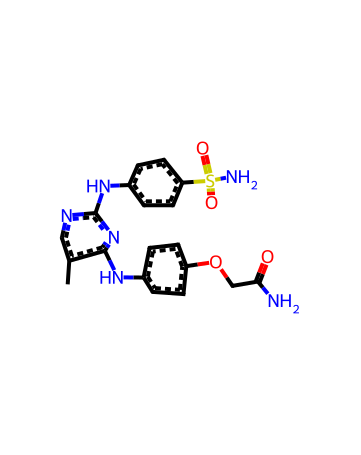 Cc1cnc(Nc2ccc(S(N)(=O)=O)cc2)nc1Nc1ccc(OCC(N)=O)cc1